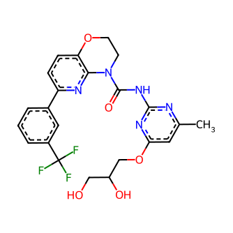 Cc1cc(OCC(O)CO)nc(NC(=O)N2CCOc3ccc(-c4cccc(C(F)(F)F)c4)nc32)n1